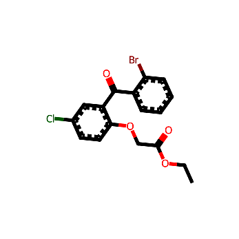 CCOC(=O)COc1ccc(Cl)cc1C(=O)c1ccccc1Br